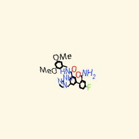 COc1cc(CNC(=O)c2cc(Cn3ccn(C)c3=N)cc(-c3ccc(F)cc3C(N)=O)c2)cc(OC)c1